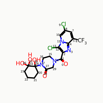 O=C(c1nc2c(C(F)(F)F)cc(Cl)cn2c1Cl)N1CCN(C2(O)CCCCC2(O)O)C(=O)C1